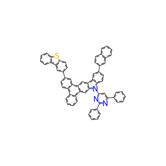 c1ccc(-c2cc(-n3c4ccc(-c5ccc6ccccc6c5)cc4c4cc5c6cc(-c7ccc8sc9ccccc9c8c7)ccc6c6ccccc6c5cc43)nc(-c3ccccc3)n2)cc1